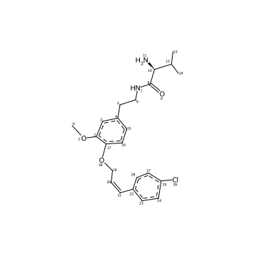 COc1cc(CCNC(=O)[C@@H](N)C(C)C)ccc1OC/C=C\c1ccc(Cl)cc1